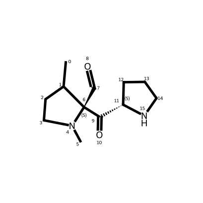 CC1CCN(C)[C@@]1([C]=O)C(=O)[C@@H]1CCCN1